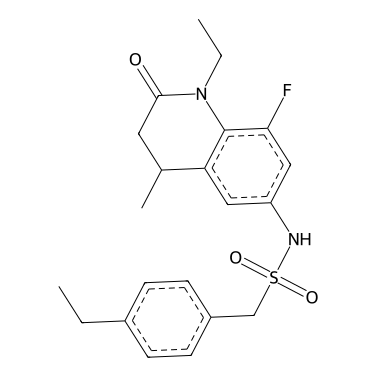 CCc1ccc(CS(=O)(=O)Nc2cc(F)c3c(c2)C(C)CC(=O)N3CC)cc1